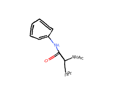 CCCC(NC(C)=O)C(=O)Nc1ccccc1